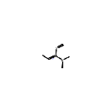 C=N/C(=C\C)N(C)C